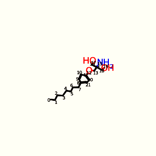 CCCCCCCCc1ccc(OCC(N)(CO)CO)cc1